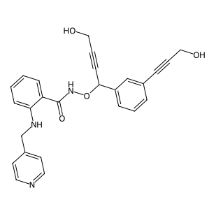 O=C(NOC(C#CCO)c1cccc(C#CCO)c1)c1ccccc1NCc1ccncc1